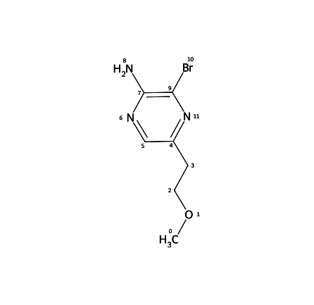 COCCc1cnc(N)c(Br)n1